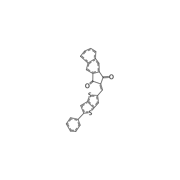 O=C1C(=Cc2cc3sc(-c4ccccc4)cc3s2)C(=O)c2cc3ccccc3cc21